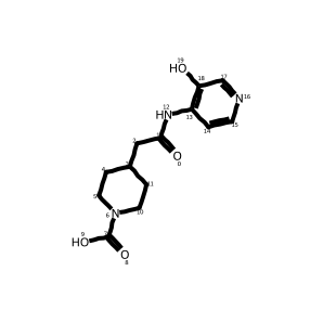 O=C(CC1CCN(C(=O)O)CC1)Nc1ccncc1O